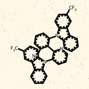 N#Cc1cccc(-n2c3ccccc3c3cc(C(F)(F)F)ccc32)c1-c1ncccc1-n1c2ccccc2c2cc(C(F)(F)F)ccc21